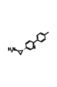 Cc1ccc(-c2ccc([C@@H]3C[C@H]3N)cn2)cc1